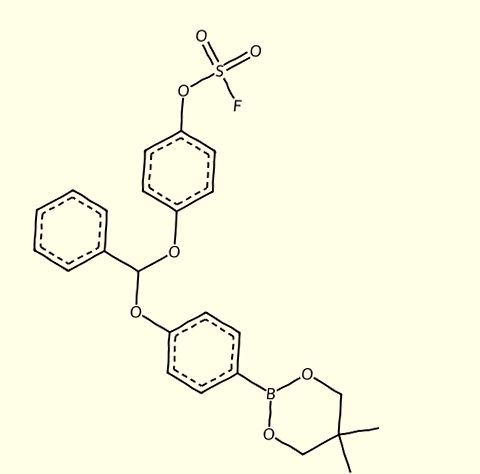 CC1(C)COB(c2ccc(OC(Oc3ccc(OS(=O)(=O)F)cc3)c3ccccc3)cc2)OC1